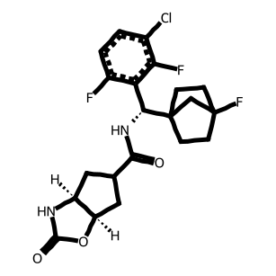 O=C1N[C@H]2CC(C(=O)N[C@H](c3c(F)ccc(Cl)c3F)C34CCC(F)(CC3)C4)C[C@H]2O1